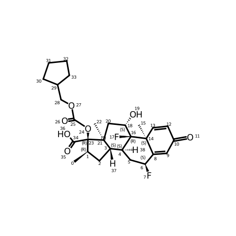 C[C@@H]1C[C@H]2[C@@H]3C[C@H](F)C4=CC(=O)C=C[C@]4(C)[C@@]3(F)[C@@H](O)C[C@]2(C)[C@@]1(OC(=O)OCC1CCCC1)C(=O)O